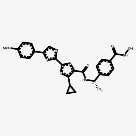 COc1ccc(-c2cnc(-c3nc(C(=O)N[C@@H](C)c4ccc(C(=O)NO)cc4)c(C4CC4)s3)s2)cc1